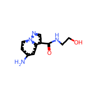 Nc1ccn2ncc(C(=O)NCCO)c2c1